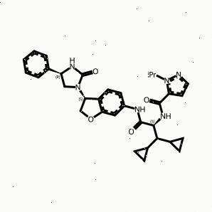 CC(C)n1nccc1C(=O)N[C@H](C(=O)Nc1ccc2c(c1)OC[C@H]2N1C[C@@H](c2ccccc2)NC1=O)C(C1CC1)C1CC1